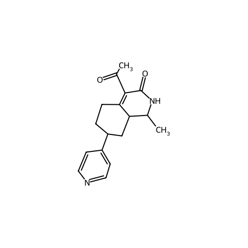 CC(=O)C1=C2CCC(c3ccncc3)CC2C(C)NC1=O